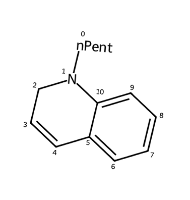 CCCCCN1CC=Cc2ccccc21